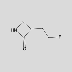 O=C1NCC1CCF